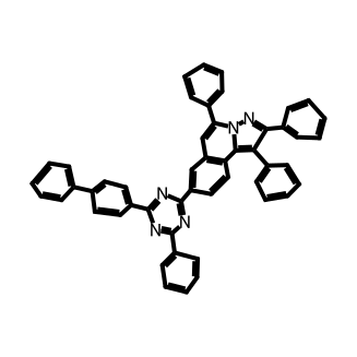 c1ccc(-c2ccc(-c3nc(-c4ccccc4)nc(-c4ccc5c(c4)cc(-c4ccccc4)n4nc(-c6ccccc6)c(-c6ccccc6)c54)n3)cc2)cc1